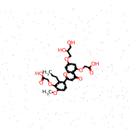 CCCc1c(-c2cc(=O)c3c(OCC(=O)O)cc(OCC(O)CO)cc3o2)ccc(OC)c1OCC(=O)O